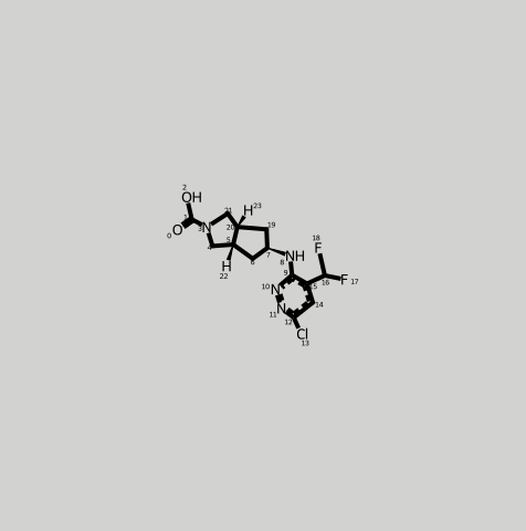 O=C(O)N1C[C@H]2C[C@H](Nc3nnc(Cl)cc3C(F)F)C[C@H]2C1